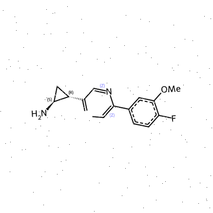 C=C(/C=N\C(=C/C)c1ccc(F)c(OC)c1)[C@H]1C[C@@H]1N